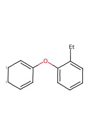 CCc1ccccc1OC1=C[C][C]C=C1